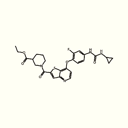 CCOC(=O)C1CCCN(C(=O)c2cc3nccc(Oc4ccc(NC(=O)NC5CC5)cc4F)c3s2)C1